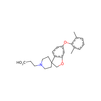 Cc1cccc(C)c1Oc1ccc2c(c1)OCC21CCN(CCC(=O)O)CC1